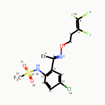 CC/C(=N\OCCC(F)=C(F)F)c1cc(Cl)ccc1NS(=O)(=O)C(F)(F)F